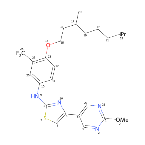 COc1ncc(-c2csc(Nc3ccc(OCCC(C)CCCC(C)C)c(C(F)(F)F)c3)n2)cn1